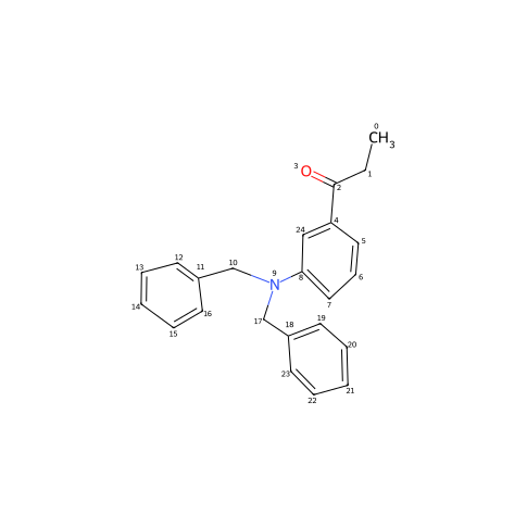 CCC(=O)c1cccc(N(Cc2ccccc2)Cc2ccccc2)c1